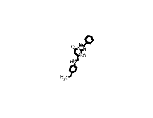 CCc1ccc(NCc2cc(=O)n3nc(-c4ccccc4)nc3[nH]2)cc1